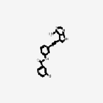 Nc1ncnc2[nH]cc(C#Cc3cccc(NC(=O)c4cccc(Cl)c4)c3)c12